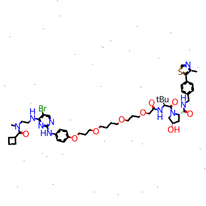 Cc1ncsc1-c1ccc(CNC(=O)[C@@H]2C[C@H](O)CN2C(=O)[C@@H](NC(=O)COCCCOCCCCOCCCOc2ccc(Nc3ncc(Br)c(NCCN(C)C(=O)C4CCC4)n3)cc2)C(C)(C)C)cc1